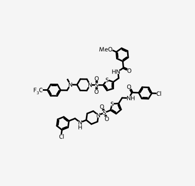 COc1cccc(C(=O)NCc2ccc(S(=O)(=O)N3CCC(N(C)Cc4ccc(C(F)(F)F)cc4)CC3)s2)c1.O=C(NCc1ccc(S(=O)(=O)N2CCC(NCc3cccc(Cl)c3)CC2)s1)c1ccc(Cl)cc1